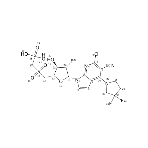 N#Cc1c(Cl)nc2c(ccn2[C@@H]2O[C@H](CS(=O)(=O)CP(=O)(O)O)[C@@H](O)[C@@H]2F)c1N1CCC(F)(F)C1